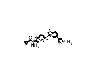 Cn1cc(-c2ccc3nnc(Sc4ccc5nc(N(N)C(=O)C6CC6)cn5n4)n3c2)cn1